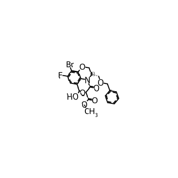 COC(=O)CC(=O)N1c2c(C(=O)O)cc(F)c(Br)c2OC[C@@H]1COCc1ccccc1